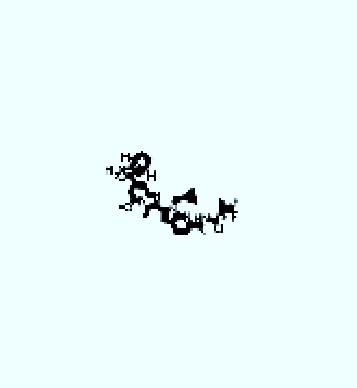 COc1cc(C(=O)N2[C@H]3CC[C@@H]2[C@H](N)C3)cc2nc(-c3cc4ccc([C@@H](C)NC(=O)[C@@H]5CC5(F)F)nc4n3CC3CC3)c(C)n12